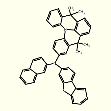 CC1(C)c2ccccc2N2c3ccc(N(c4ccc5ccccc5c4)c4ccc5c(c4)sc4ccccc45)cc3C(C)(C)c3cccc1c32